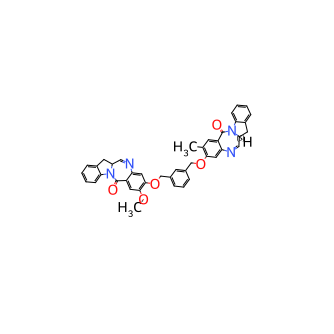 COc1cc2c(cc1OCc1cccc(COc3cc4c(cc3C)C(=O)N3c5ccccc5C[C@H]3C=N4)c1)N=CC1Cc3ccccc3N1C2=O